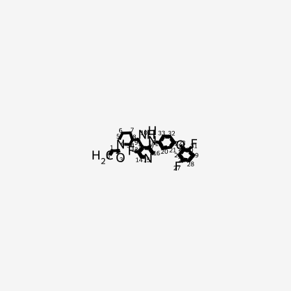 C=CC(=O)N1CCCC(C(=N)c2c(F)cncc2Nc2ccc(Oc3cc(F)ccc3F)cc2)C1